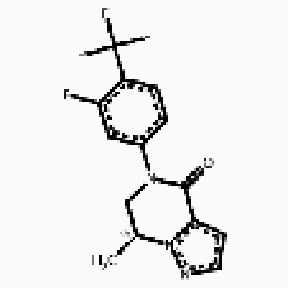 C[C@H]1CN(c2ccc(C(F)(F)F)c(F)c2)C(=O)c2ccnn21